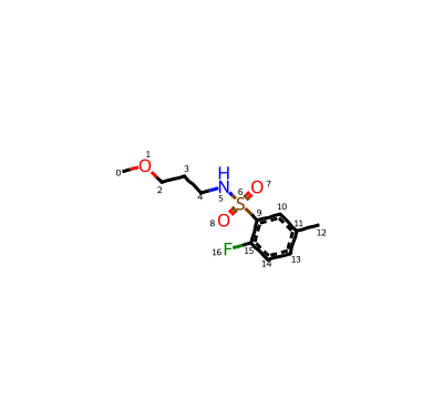 COCCCNS(=O)(=O)c1cc(C)ccc1F